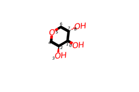 OC1[C@@H](O)COC[C@@H]1O